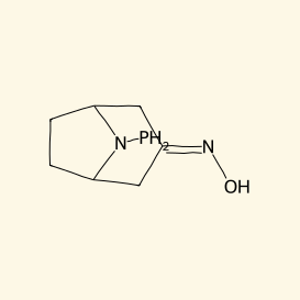 ON=C1CC2CCC(C1)N2P